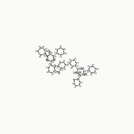 N=C(/N=C(\NNc1ccccc1)c1cccc(-c2ccc3c(c2)sc2cccc(-c4nc(-c5ccccc5)c5sc6ccccc6c5n4)c23)c1)c1ccccc1